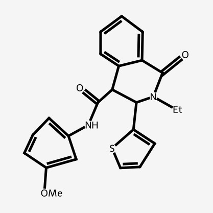 CCN1C(=O)c2ccccc2C(C(=O)Nc2cccc(OC)c2)C1c1cccs1